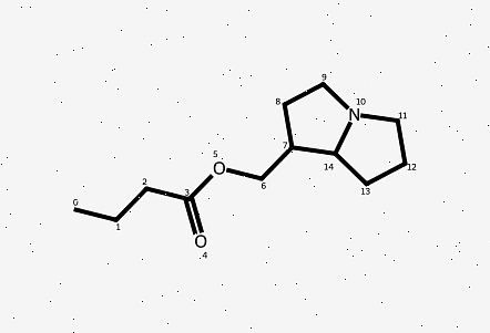 CCCC(=O)OCC1CCN2CCCC12